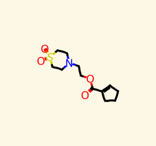 O=C(OCCN1CCS(=O)(=O)CC1)C1=CCCC1